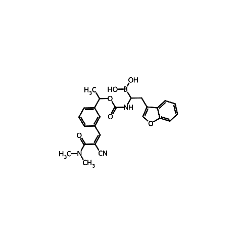 CC(OC(=O)NC(Cc1coc2ccccc12)B(O)O)c1cccc(C=C(C#N)C(=O)N(C)C)c1